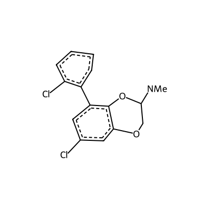 CNC1COc2cc(Cl)cc(-c3ccccc3Cl)c2O1